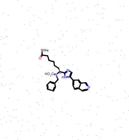 CNC(=O)CCCCC[C@@H](c1ncc(-c2ccc3ccncc3c2)[nH]1)N(Cc1ccccc1)C(=O)O